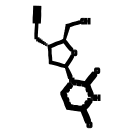 C#CC[C@H]1C[C@H](n2ccc(=O)[nH]c2=O)O[C@@H]1CO